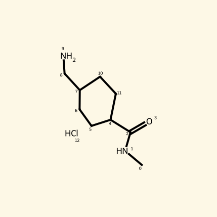 CNC(=O)C1CCC(CN)CC1.Cl